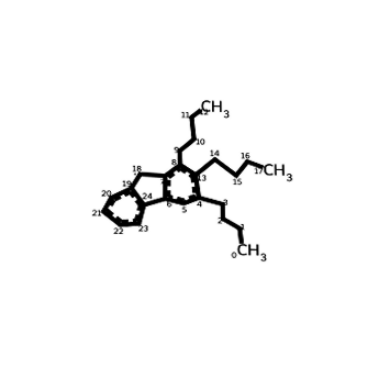 CCCCc1cc2c(c(CCCC)c1CCCC)[CH]c1ccccc1-2